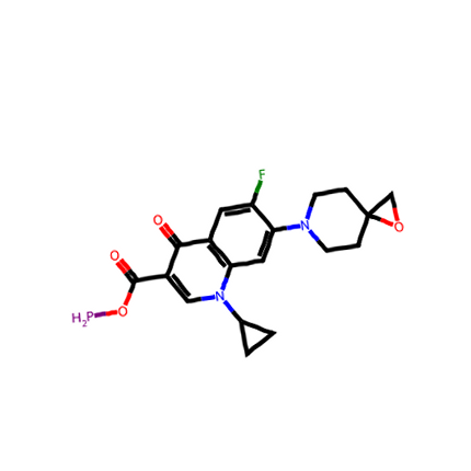 O=C(OP)c1cn(C2CC2)c2cc(N3CCC4(CC3)CO4)c(F)cc2c1=O